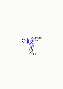 O=C(O)C1CCN(c2ncc(NS(=O)(=O)c3ccc(Br)cc3)c(NCc3ccccc3)n2)CC1